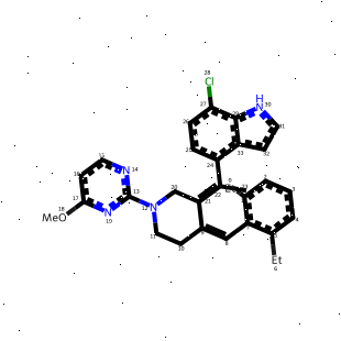 CCc1cccc(CC)c1/C=C1/CCN(c2nccc(OC)n2)C/C1=C(/C)c1ccc(Cl)c2[nH]ccc12